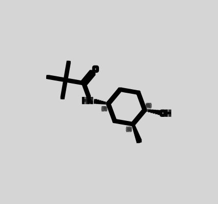 C[C@H]1C[C@H](NC(=O)C(C)(C)C)CC[C@@H]1O